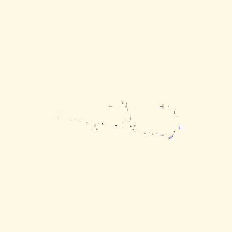 CCCCC/C=C\C/C=C\CCCCCCCCN(CCCCCCCOC(=O)CCCCCCCCC)OC(=O)CCCN(C)C